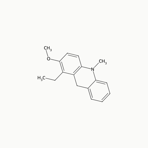 CCc1c(OC)ccc2c1Cc1ccccc1N2C